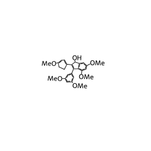 COC1=CC=C(C2=C(c3cc(OC)cc(OC)c3)c3c(OC)cc(OC)cc3C2O)CC1